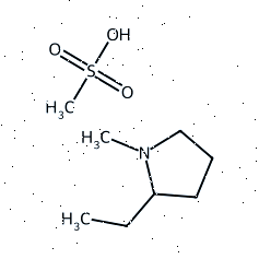 CCC1CCCN1C.CS(=O)(=O)O